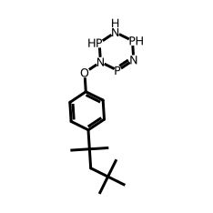 CC(C)(C)CC(C)(C)c1ccc(On2pn[pH][nH][pH]2)cc1